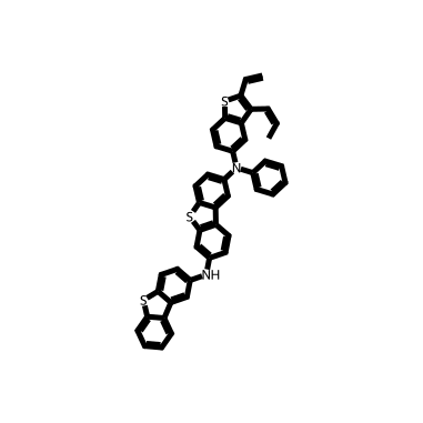 C=Cc1sc2ccc(N(c3ccccc3)c3ccc4sc5cc(Nc6ccc7sc8ccccc8c7c6)ccc5c4c3)cc2c1/C=C\C